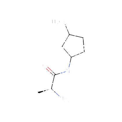 C[C@H](N)C(=O)NC1CCC(S(=O)(=O)O)C1